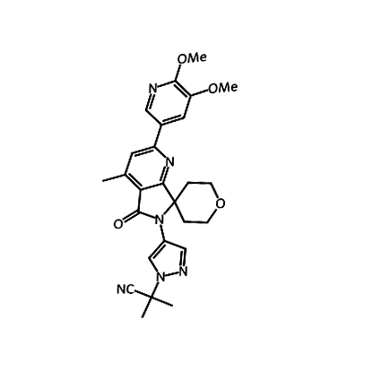 COc1cc(-c2cc(C)c3c(n2)C2(CCOCC2)N(c2cnn(C(C)(C)C#N)c2)C3=O)cnc1OC